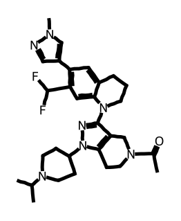 CC(=O)N1CCc2c(c(N3CCCc4cc(-c5cnn(C)c5)c(C(F)F)cc43)nn2C2CCN(C(C)C)CC2)C1